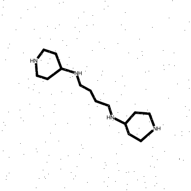 C(CCNC1CCNCC1)CNC1CCNCC1